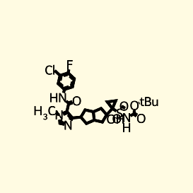 Cn1cnc(C2CC3CC(O)(C4(S(=O)(=O)NC(=O)OC(C)(C)C)CC4)CC3C2)c1C(=O)Nc1ccc(F)c(Cl)c1